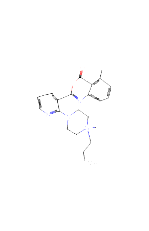 CCc1cccc2nc(-c3cccnc3N3CC[N+](C)(CCOC)CC3)oc(=O)c12